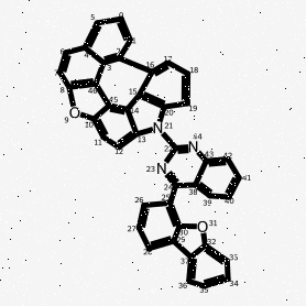 c1cc2c3c(c1)ccc1oc4ccc5c(c6c-2cccc6n5-c2nc(-c5cccc6c5oc5ccccc56)c5ccccc5n2)c4c13